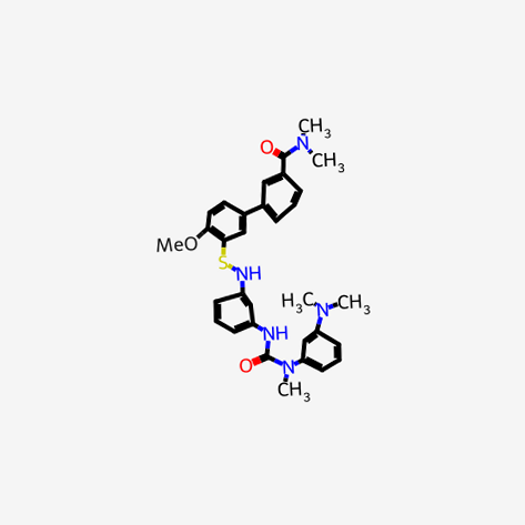 COc1ccc(-c2cccc(C(=O)N(C)C)c2)cc1SNc1cccc(NC(=O)N(C)c2cccc(N(C)C)c2)c1